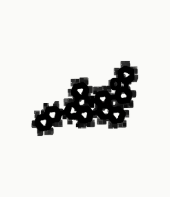 c1cc(-c2ccc3ccccc3c2)cc(-c2ccccc2N(c2ccc(-c3cccc4c3oc3ccccc34)cc2)c2ccccc2-c2ccc3ccccc3c2)c1